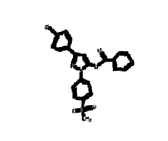 CS(=O)(=O)c1ccc(-n2nc(-c3ccc(Cl)cc3)cc2OC(=O)c2ccccc2)cc1